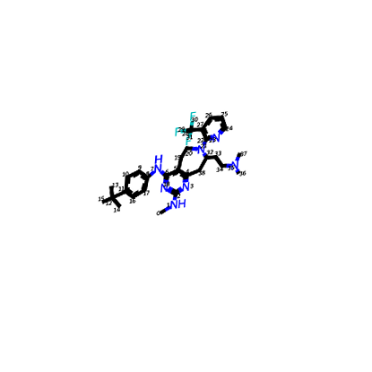 CNc1nc2c(c(Nc3ccc(C(C)(C)C)cc3)n1)CCN(c1ncccc1C(F)(F)F)C(CCN(C)C)C2